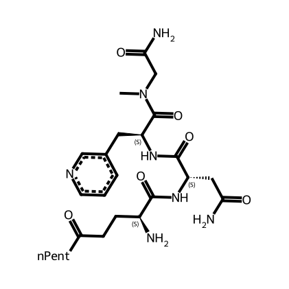 CCCCCC(=O)CC[C@H](N)C(=O)N[C@@H](CC(N)=O)C(=O)N[C@@H](Cc1cccnc1)C(=O)N(C)CC(N)=O